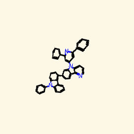 c1ccc(-c2cc(-n3c4cc(-c5cccc6c5c5ccccc5n6-c5ccccc5)ccc4c4ncccc43)cc(-c3ccccc3)n2)cc1